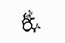 C=NNC(=C)C12CC(CC)CC(CC#CC(C(=C)N(C)C)C1)C2